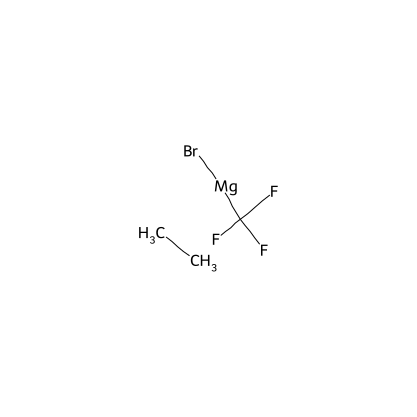 CC.F[C](F)(F)[Mg][Br]